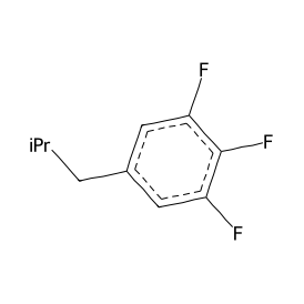 CC(C)Cc1cc(F)c(F)c(F)c1